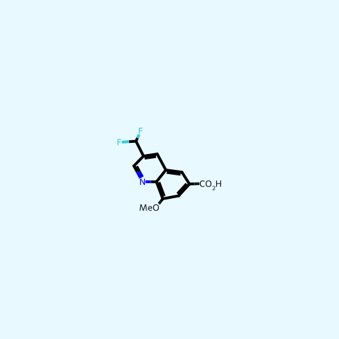 COc1cc(C(=O)O)cc2cc(C(F)F)cnc12